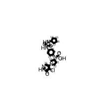 O=C(O)N(C1CCC(NS(=O)(=O)NC2CCCC2)CC1)[C@@H]1CCN(c2cn[nH]c(=O)c2Cl)C1